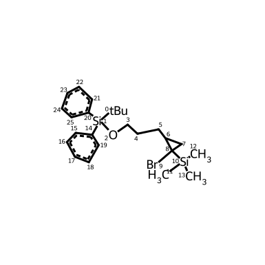 CC(C)(C)[Si](OCCCC1CC1(Br)[Si](C)(C)C)(c1ccccc1)c1ccccc1